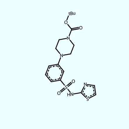 CC(C)(C)OC(=O)N1CCN(c2cccc(S(=O)(=O)Nc3nccs3)c2)CC1